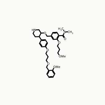 COCCCOc1cc(COC2CNCCC2c2ccc(OCCCOCc3ccccc3OC)cc2)ccc1C(=O)N(C)C